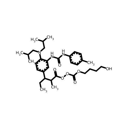 CCC(c1ccc(N(CC(C)C)CC(C)C)c(NC(=O)Nc2ccc(C)cc2)c1)C(C)C(=O)OOC(=O)OCCCCO